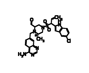 C=CC(c1cc2cc(Cl)ccc2[nH]1)S(=O)(=O)N1CC(C=O)N(Cc2ccc3c(N)ncnc3c2)[C@@H](C)C1